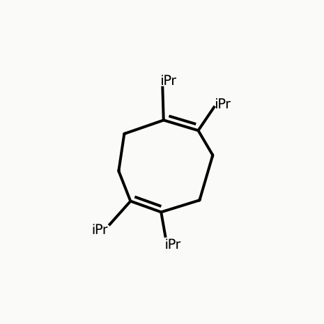 CC(C)C1=C(C(C)C)CCC(C(C)C)=C(C(C)C)CC1